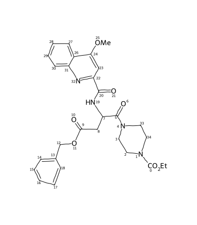 CCOC(=O)N1CCN(C(=O)C(CC(=O)OCc2ccccc2)NC(=O)c2cc(OC)c3ccccc3n2)CC1